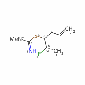 C=CCC(SC(=N)NC)[C@H](C)F